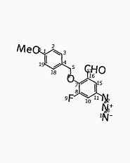 COc1ccc(COc2c(F)cc(N=[N+]=[N-])cc2C=O)cc1